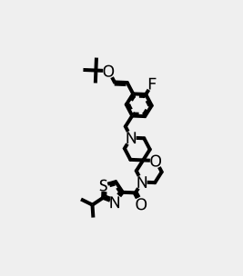 CC(C)c1nc(C(=O)N2CCOC3(CCN(Cc4ccc(F)c(C=COC(C)(C)C)c4)CC3)C2)cs1